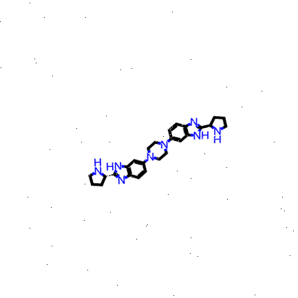 c1cc2nc(C3CCCN3)[nH]c2cc1N1CCN(c2ccc3nc([C@@H]4CCCN4)[nH]c3c2)CC1